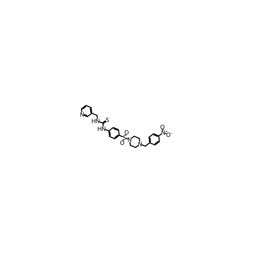 O=[N+]([O-])c1ccc(CN2CCN(S(=O)(=O)c3ccc(NC(=S)NCc4cccnc4)cc3)CC2)cc1